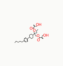 C=C(CO)C(=O)OCC(CCC)(COC(=O)C(=C)CO)C1CCC(c2ccc(CCCCC)cc2)CC1